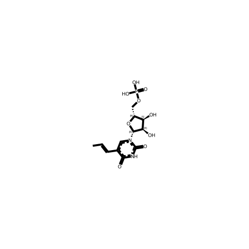 CC=Cc1cn([C@@H]2O[C@H](COP(=O)(O)O)[C@@H](O)[C@H]2O)c(=O)[nH]c1=O